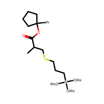 CO[Si](CCCSCC(C)C(=O)OC1(C(C)C)CCCC1)(OC)OC